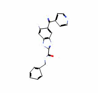 N=C(c1ccncc1)c1cc2nc(C(=O)NCc3ccccc3)[nH]c2cc1N